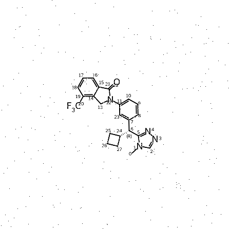 Cn1cnnc1[C@@H](c1cccc(N2Cc3c(cccc3C(F)(F)F)C2=O)c1)C1CCC1